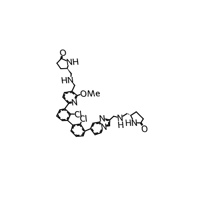 COc1nc(-c2cccc(-c3cccc(-c4ccn5cc(CNC[C@@H]6CCC(=O)N6)nc5c4)c3Cl)c2Cl)ccc1CNC[C@H]1CCC(=O)N1